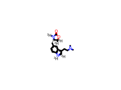 [2H]c1c(CCN(C)C)c2cc(C[C@@H]3N([2H])C(=O)OC3([2H])[2H])ccc2n1[2H]